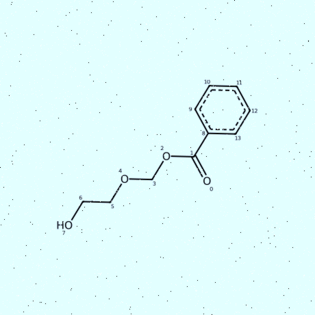 O=C(OCOCCO)c1ccccc1